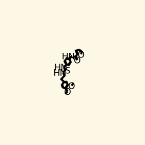 COc1ccc(CCNC(=S)Nc2ccc(NC(=O)c3ccco3)cc2)cc1OC